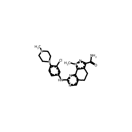 CN1CCN(c2ccc(Nc3ncc4c(n3)-c3c(c(C(N)=O)nn3C)CC4)cc2Cl)CC1